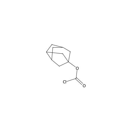 O=C(Cl)OC12CC3CC(C1)C(C3)C2